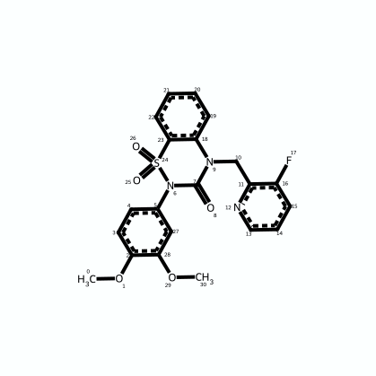 COc1ccc(N2C(=O)N(Cc3ncccc3F)c3ccccc3S2(=O)=O)cc1OC